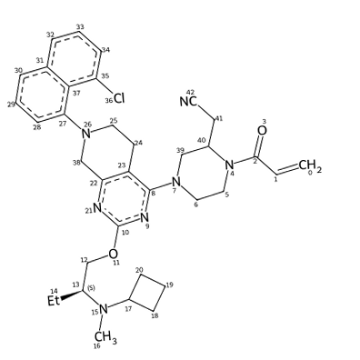 C=CC(=O)N1CCN(c2nc(OC[C@H](CC)N(C)C3CCC3)nc3c2CCN(c2cccc4cccc(Cl)c24)C3)CC1CC#N